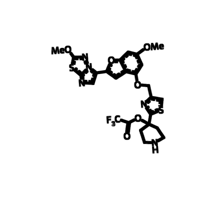 COc1cc(OCc2csc(C3(OC(=O)C(F)(F)F)CCNCC3)n2)c2cc(-c3cnc4sc(OC)nn34)oc2c1